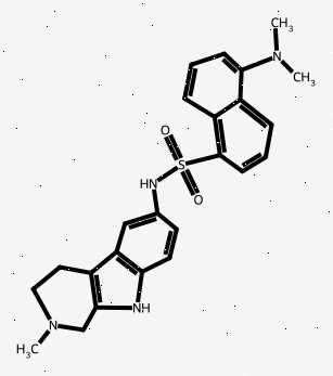 CN1CCc2c([nH]c3ccc(NS(=O)(=O)c4cccc5c(N(C)C)cccc45)cc23)C1